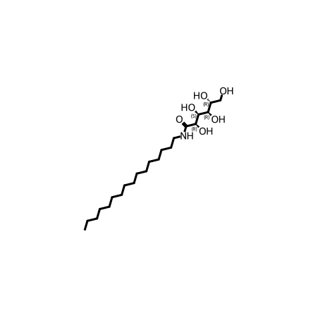 CCCCCCCCCCCCCCCCNC(=O)[C@H](O)[C@@H](O)[C@H](O)[C@H](O)CO